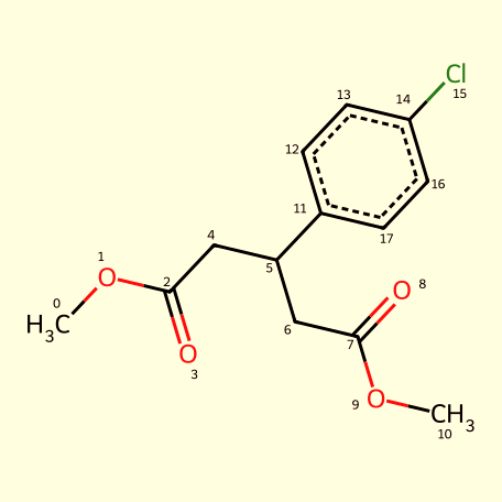 COC(=O)CC(CC(=O)OC)c1ccc(Cl)cc1